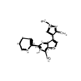 Cc1nn(C(C)C)cc1-c1csc2c(N=O)nc(C3=CCCC=N3)nc12